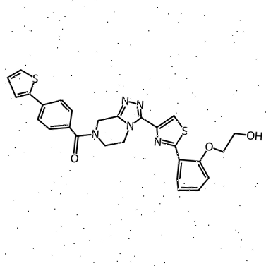 O=C(c1ccc(-c2cccs2)cc1)N1CCn2c(nnc2-c2csc(-c3ccccc3OCCO)n2)C1